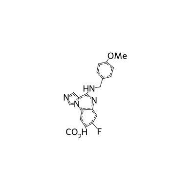 COc1ccc(CNc2nc3cc(F)c(C(=O)O)cc3n3cncc23)cc1